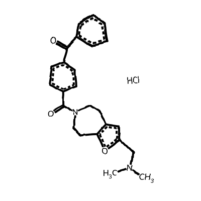 CN(C)Cc1cc2c(o1)CCN(C(=O)c1ccc(C(=O)c3ccccc3)cc1)CC2.Cl